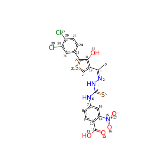 C/C(=N/NC(=S)Nc1ccc(C(=O)O)c([N+](=O)[O-])c1)c1csc(-c2ccc(Cl)c(Cl)c2)c1O